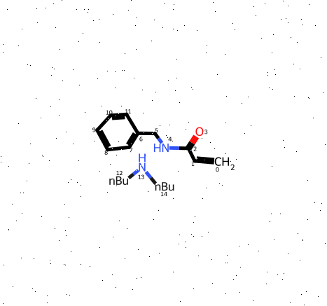 C=CC(=O)NCc1ccccc1.CCCCNCCCC